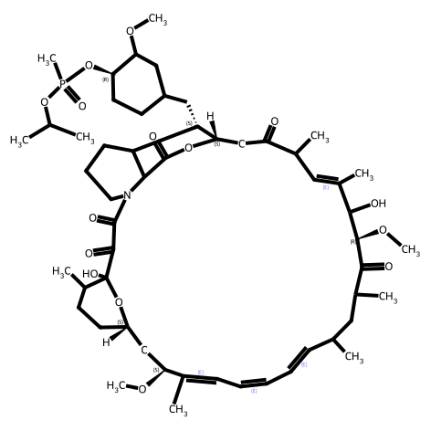 COC1CC(C[C@H]2C3CCCN4C(=O)C(=O)C5(O)O[C@@H](CCC5C)C[C@H](OC)/C(C)=C/C=C/C=C/C(C)CC(C)C(=O)[C@H](OC)C(O)/C(C)=C/C(C)C(=O)C[C@@H]2OC(=O)C34)CC[C@H]1OP(C)(=O)OC(C)C